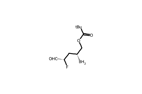 B[C@@H](COC(=O)C(C)(C)C)C[C@H](F)C=O